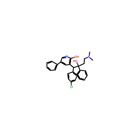 CN(C)CCC(O)(C1=C=C=CC=C1)C(c1ccc(Cl)cc1)c1cc(-c2ccccc2)cnc1O